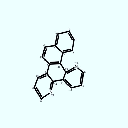 c1ccc2c(c1)ccc1c3cccnc3c3cccnc3c21